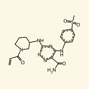 C=CC(=O)N1CCCC(Nc2nnc(C(N)=O)c(Nc3ccc(S(C)(=O)=O)cc3)n2)C1